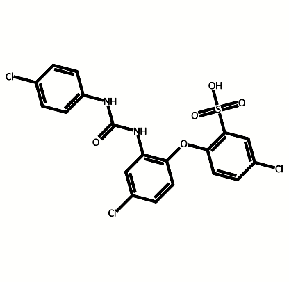 O=C(Nc1ccc(Cl)cc1)Nc1cc(Cl)ccc1Oc1ccc(Cl)cc1S(=O)(=O)O